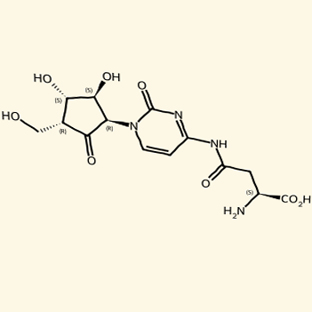 N[C@@H](CC(=O)Nc1ccn([C@H]2C(=O)[C@H](CO)[C@H](O)[C@H]2O)c(=O)n1)C(=O)O